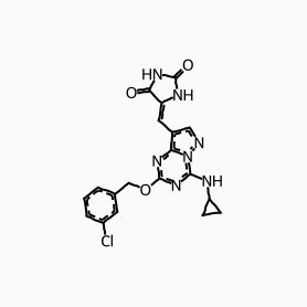 O=C1NC(=O)/C(=C/c2cnn3c(NC4CC4)nc(OCc4cccc(Cl)c4)nc23)N1